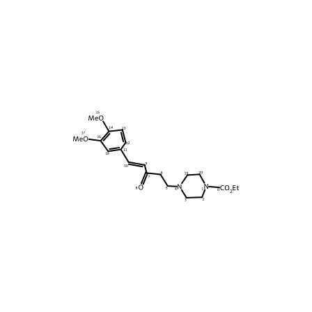 CCOC(=O)N1CCN(CCC(=O)C=Cc2ccc(OC)c(OC)c2)CC1